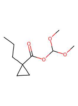 CCCC1(C(=O)OC(OC)OC)CC1